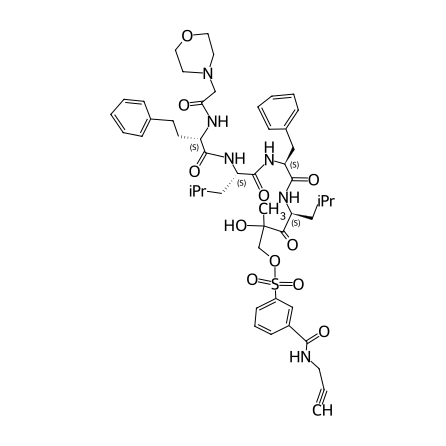 C#CCNC(=O)c1cccc(S(=O)(=O)OCC(C)(O)C(=O)[C@H](CC(C)C)NC(=O)[C@H](Cc2ccccc2)NC(=O)[C@H](CC(C)C)NC(=O)[C@H](CCc2ccccc2)NC(=O)CN2CCOCC2)c1